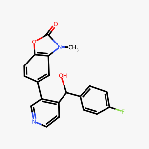 Cn1c(=O)oc2ccc(-c3cnccc3C(O)c3ccc(F)cc3)cc21